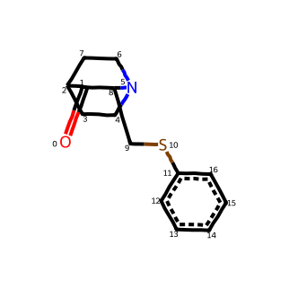 O=C1C2CCN(CC2)C1CSc1ccccc1